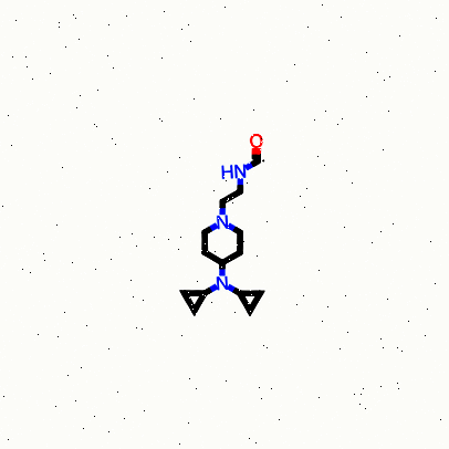 O=[C]NCCN1CCC(N(C2CC2)C2CC2)CC1